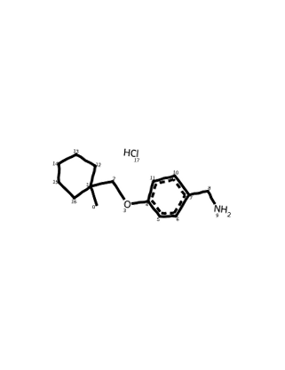 CC1(COc2ccc(CN)cc2)CCCCC1.Cl